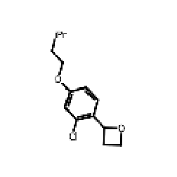 CC(C)CCOc1ccc(C2CCO2)c(Cl)c1